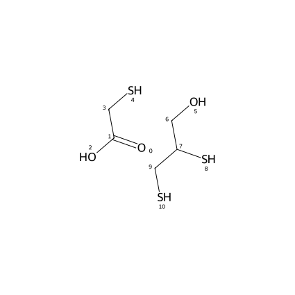 O=C(O)CS.OCC(S)CS